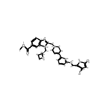 COC(=O)c1ccc2nc(CN3CC=C(c4cccc(OCc5sc(Cl)cc5F)n4)CC3)n(C[C@@H]3CCO3)c2c1